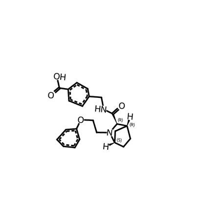 O=C(O)c1ccc(CNC(=O)[C@H]2[C@@H]3CC[C@@H](C3)N2CCOc2ccccc2)cc1